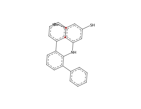 CC(C)(C)c1cc(S)cc(Nc2c(-c3ccccc3)cccc2-c2ccccc2)c1